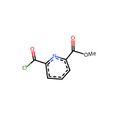 COC(=O)c1cccc(C(=O)Cl)n1